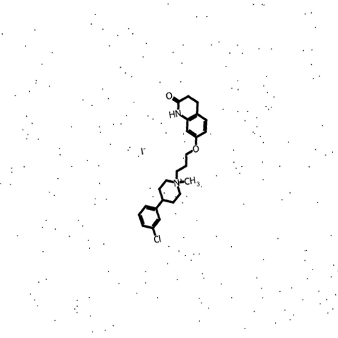 C[N+]1(CCCOc2ccc3c(c2)NC(=O)CC3)CCC(c2cccc(Cl)c2)CC1.[I-]